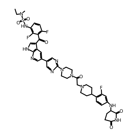 CCN(C)S(=O)(=O)Nc1ccc(F)c(C(=O)c2c[nH]c3ncc(-c4cnc(N5CCN(C(=O)CN6CCC(c7ccc(NC8CCC(=O)NC8=O)cc7F)CC6)CC5)nc4)cc23)c1F